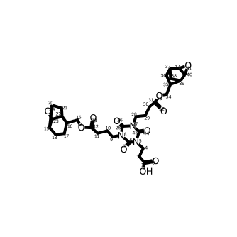 O=C(O)CCn1c(=O)n(CCCC(=O)OCC2CCC3C4CC2C3O4)c(=O)n(CCCC(=O)OCC2CC3CC2C2OC32)c1=O